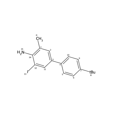 Cc1cc(-c2ccc(C(C)(C)C)cc2)cc(I)c1N